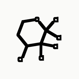 ClC1CCOC(Cl)(Cl)C1(Cl)Cl